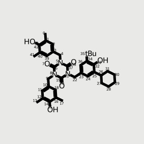 Cc1cc(Cn2c(=O)n(Cc3cc(C)c(O)c(C)c3)c(=O)n(Cc3cc(C4CCCCC4)c(O)c(C(C)(C)C)c3)c2=O)cc(C)c1O